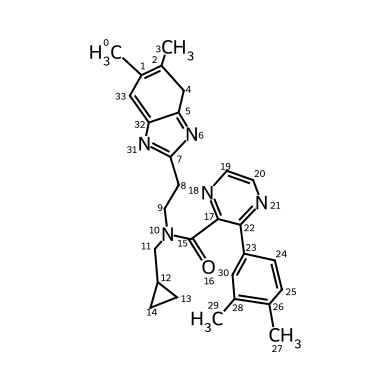 CC1=C(C)CC2=NC(CCN(CC3CC3)C(=O)c3nccnc3-c3ccc(C)c(C)c3)=NC2=C1